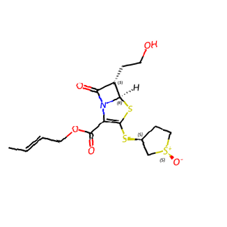 CC=CCOC(=O)C1=C(S[C@H]2CC[S@@+]([O-])C2)S[C@@H]2[C@@H](CCO)C(=O)N12